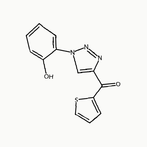 O=C(c1cn(-c2ccccc2O)nn1)c1cccs1